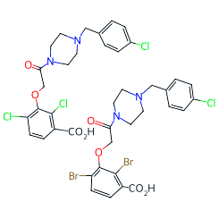 O=C(O)c1ccc(Br)c(OCC(=O)N2CCN(Cc3ccc(Cl)cc3)CC2)c1Br.O=C(O)c1ccc(Cl)c(OCC(=O)N2CCN(Cc3ccc(Cl)cc3)CC2)c1Cl